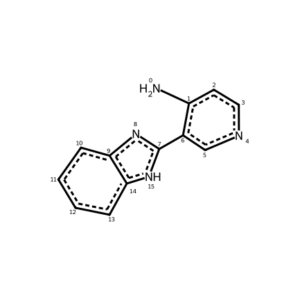 Nc1ccncc1-c1nc2ccccc2[nH]1